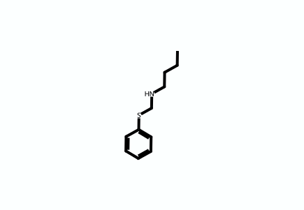 CCCCNCSc1ccccc1